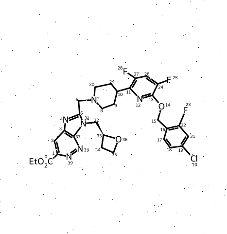 CCOC(=O)c1cc2nc(CN3CCC(c4nc(OCc5ccc(Cl)cc5F)c(F)cc4F)CC3)n(C[C@@H]3CCO3)c2nn1